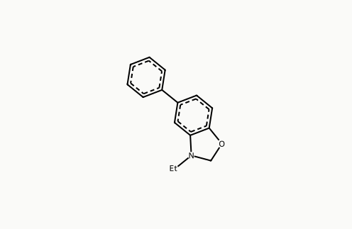 CCN1COc2ccc(-c3ccccc3)cc21